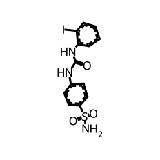 NS(=O)(=O)c1ccc(NC(=O)Nc2ccccc2I)cc1